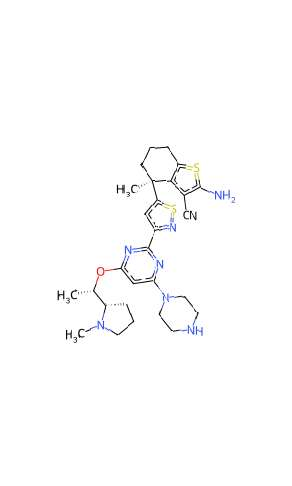 C[C@H](Oc1cc(N2CCNCC2)nc(-c2cc([C@@]3(C)CCCc4sc(N)c(C#N)c43)sn2)n1)[C@@H]1CCCN1C